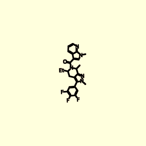 CCC1Cc2c(nn(C)c2-c2cc(F)c(F)c(F)c2)C(C)N1C(=O)c1cn(C)c2ncccc12